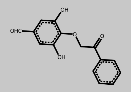 O=Cc1cc(O)c(OCC(=O)c2ccccc2)c(O)c1